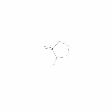 NC1NCCC1=O